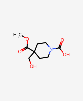 COC(=O)C1(CO)CCN(C(=O)O)CC1